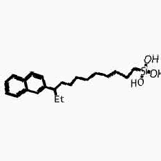 CCC(CCCCCCCCC[Si](O)(O)O)c1ccc2ccccc2c1